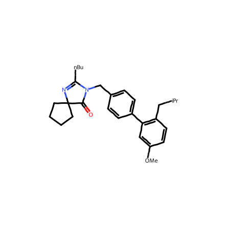 CCCCC1=NC2(CCCC2)C(=O)N1Cc1ccc(-c2cc(OC)ccc2CC(C)C)cc1